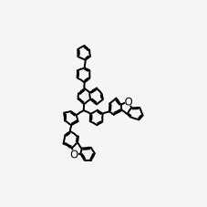 c1ccc(-c2ccc(-c3ccc(C(c4cccc(-c5ccc6oc7ccccc7c6c5)c4)c4cccc(-c5ccc6oc7ccccc7c6c5)c4)c4ccccc34)cc2)cc1